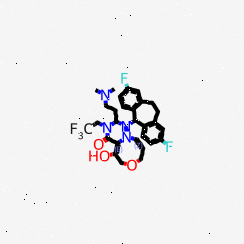 CN(C)CCC1N(CC(F)(F)F)C(=O)/C2=C(\O)COC/C=C\N2N1C1c2ccc(F)cc2CCc2cc(F)ccc21